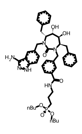 CCCCOP(=O)(CCCNC(=O)c1cccc(CN2C(=O)N(Cc3ccc4[nH]nc(N)c4c3)[C@H](Cc3ccccc3)[C@H](O)[C@@H](O)[C@H]2Cc2ccccc2)c1)OCCCC